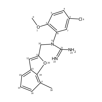 COc1ccc(Cl)cc1N(Cc1cc2cccc(C)c2o1)C(=N)N